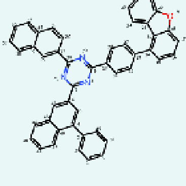 c1ccc(-c2cc(-c3nc(-c4ccc(-c5cccc6oc7ccccc7c56)cc4)nc(-c4ccc5ccccc5c4)n3)cc3ccccc23)cc1